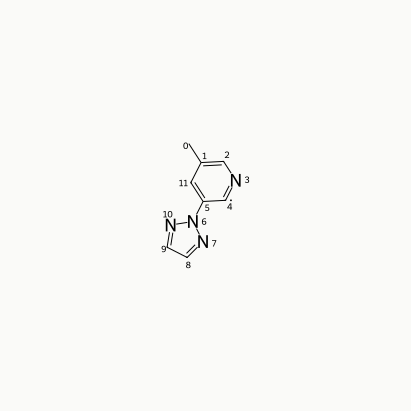 Cc1cn[c]c(-n2nccn2)c1